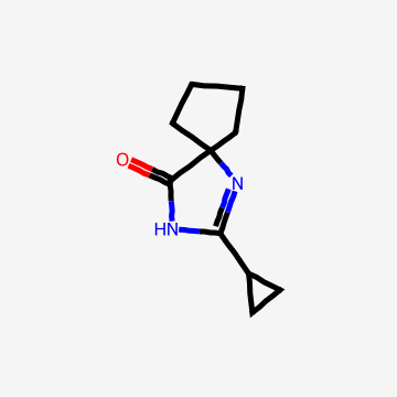 O=C1NC(C2CC2)=NC12CCCC2